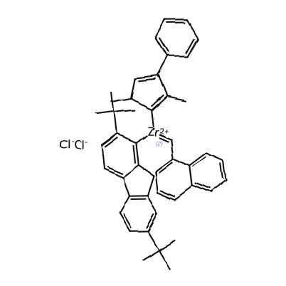 CC1=[C](/[Zr+2](=[CH]/c2cccc3ccccc23)[c]2c(C(C)(C)C)ccc3c2Cc2cc(C(C)(C)C)ccc2-3)C(C)C=C1c1ccccc1.[Cl-].[Cl-]